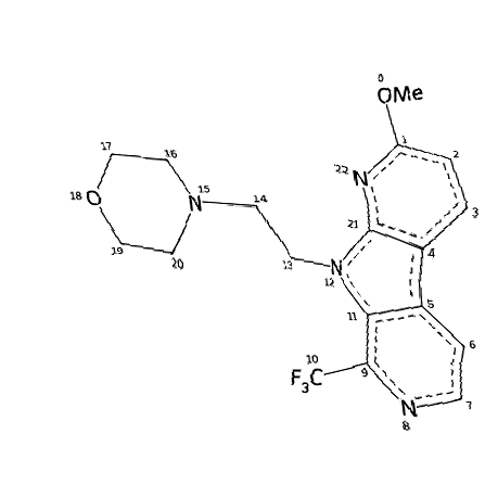 COc1ccc2c3ccnc(C(F)(F)F)c3n(CCN3CCOCC3)c2n1